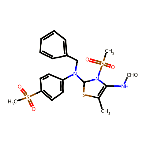 CC1=C(NC=O)N(S(C)(=O)=O)C(N(Cc2ccccc2)c2ccc(S(C)(=O)=O)cc2)S1